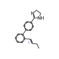 CC/C=C/c1ccccc1-c1ccc(C2=NCCN2)cc1